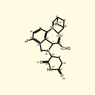 O=CC(=O)C1c2c(N3CC4CC(C3)N4)ccc(F)c2CN1C1CCC(=O)NC1=O